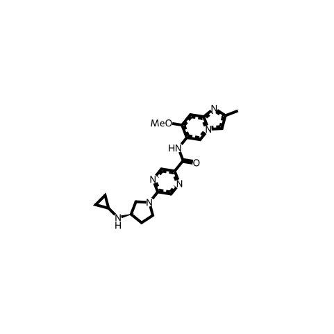 COc1cc2nc(C)cn2cc1NC(=O)c1cnc(N2CC[C@@H](NC3CC3)C2)cn1